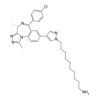 Cc1nnc2n1-c1ccc(-c3cnn(CCCCCCCCCCN)c3)cc1C(c1ccc(Cl)cc1)=N[C@H]2C